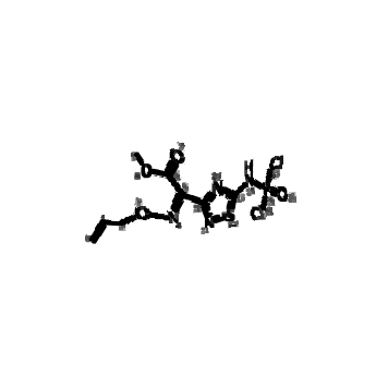 C=CCON=C(C(=O)OC)c1nsc(NP(=O)(Cl)Cl)n1